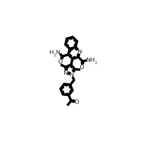 CC(=O)c1cccc(Cn2nc(C)c(-c3c(C(N)=O)nc4ccccc4c3C(N)=O)c2C)c1